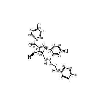 Cc1ccc(NCCCNc2c(C#N)c(C(=O)c3ccc(C)cc3)nn2-c2ccc(Cl)cc2)cc1